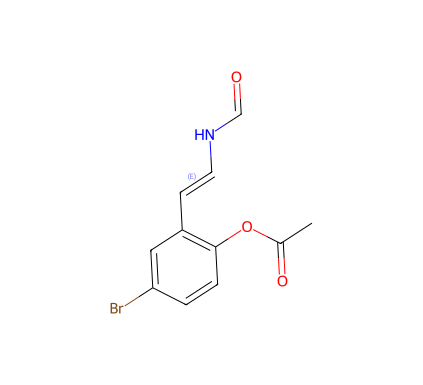 CC(=O)Oc1ccc(Br)cc1/C=C/NC=O